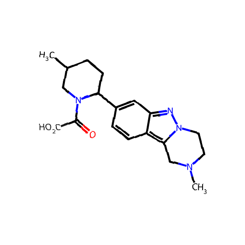 CC1CCC(c2ccc3c4n(nc3c2)CCN(C)C4)N(C(=O)C(=O)O)C1